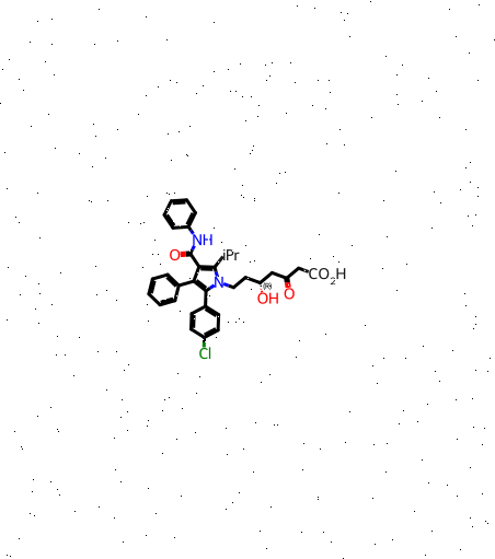 CC(C)c1c(C(=O)Nc2ccccc2)c(-c2ccccc2)c(-c2ccc(Cl)cc2)n1CC[C@@H](O)CC(=O)CC(=O)O